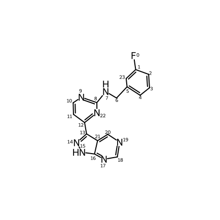 Fc1cccc(CNc2nccc(-c3n[nH]c4ncncc34)n2)c1